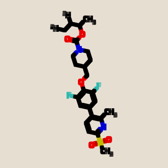 [2H]CC([2H])C(C)OC(=O)N1CCC(COc2c(F)cc(-c3ccc(S(C)(=O)=O)nc3C)cc2F)CC1